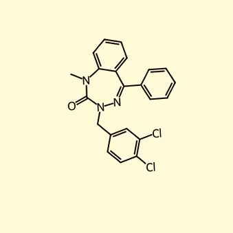 CN1C(=O)N(Cc2ccc(Cl)c(Cl)c2)N=C(c2ccccc2)c2ccccc21